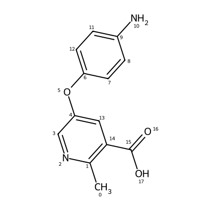 Cc1ncc(Oc2ccc(N)cc2)cc1C(=O)O